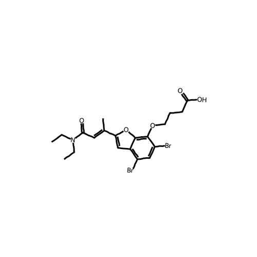 CCN(CC)C(=O)/C=C(\C)c1cc2c(Br)cc(Br)c(OCCCC(=O)O)c2o1